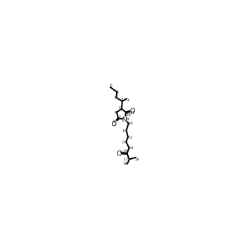 CCCC(C)C1CC(=O)N(CCCCCC(=O)C(C)C)C1=O